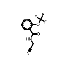 N#CCNC(=O)c1ccccc1OC(F)(F)F